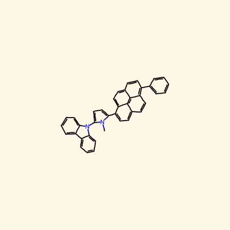 Cn1c(-c2ccc3ccc4c(-c5ccccc5)ccc5ccc2c3c54)ccc1-n1c2ccccc2c2ccccc21